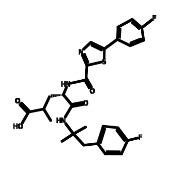 CC(C[C@H](NC(=O)c1ncc(-c2ccc(F)cc2)s1)C(=O)NC(C)(C)Cc1ccc(F)cc1)C(=O)O